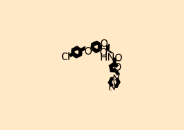 CN1CCN(Cc2ccc(C(=O)NC[C@@H]3COc4ccc(OCc5ccc(Cl)cc5)cc4O3)o2)CC1